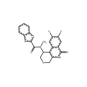 CN(C(=O)c1nc2ccccc2s1)C1COCc2[nH]c(=O)c3cc(F)c(F)cc3c21